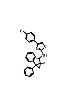 CC1(C(=O)Nc2nc(-c3ccc(Cl)cc3)cs2)CC1(c1ccccc1)c1ccccc1